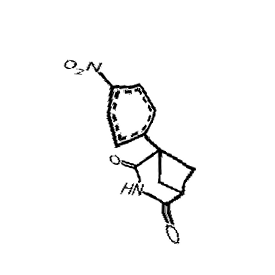 O=C1NC(=O)C2(c3ccc([N+](=O)[O-])cc3)CC1C2